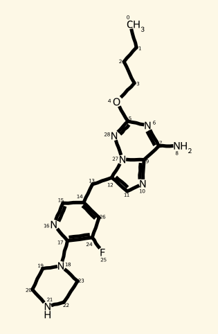 CCCCOc1nc(N)c2ncc(Cc3cnc(N4CCNCC4)c(F)c3)n2n1